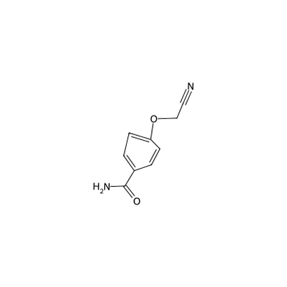 N#CCOc1ccc(C(N)=O)cc1